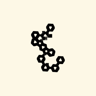 N=C(/N=C(\Nn1c2ccccc2c2cc3c(cc21)c1ccccc1n3-c1cccc(-c2cccc(-c3cccc(-c4ccccc4)c3)n2)c1)c1ccccc1)c1ccccc1